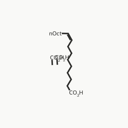 CC(=O)O.CC(=O)O.CCCCCCCC/C=C\CCCCCCCC(=O)O